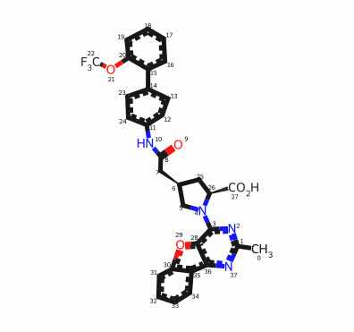 Cc1nc(N2C[C@@H](CC(=O)Nc3ccc(-c4ccccc4OC(F)(F)F)cc3)C[C@H]2C(=O)O)c2oc3ccccc3c2n1